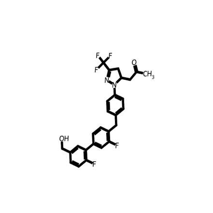 CC(=O)CC1CC(C(F)(F)F)=NN1c1ccc(Cc2ccc(-c3cc(CO)ccc3F)cc2F)cc1